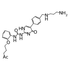 CC(=O)CCCOc1ccccc1NC(=O)Nc1nc(=O)c(-c2ccc(CNCCCN)cc2)c[nH]1